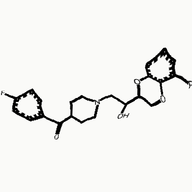 O=C(c1ccc(F)cc1)C1CCN(CC(O)C2COc3c(F)cccc3O2)CC1